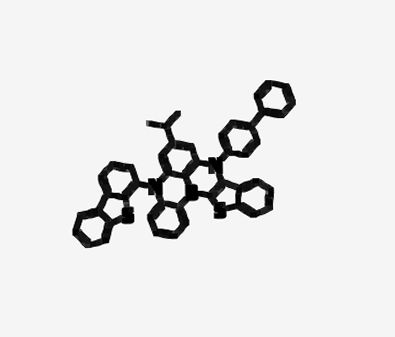 CC(C)c1cc2c3c(c1)N(c1cccc4c1sc1ccccc14)c1ccccc1B3c1sc3ccccc3c1N2c1ccc(-c2ccccc2)cc1